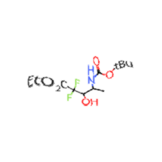 CCOC(=O)C(F)(F)C(O)C(C)NC(=O)OC(C)(C)C